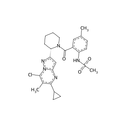 Cc1ccc(NS(C)(=O)=O)c(C(=O)N2CCCC[C@H]2c2cc3nc(C4CC4)c(C)c(Cl)n3n2)c1